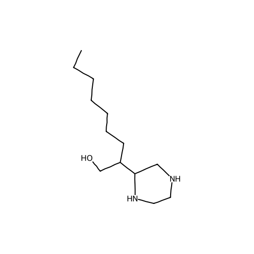 CCCCCCCC(CO)C1CNCCN1